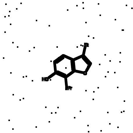 CCCc1c(O)ccc2c(CC)coc12